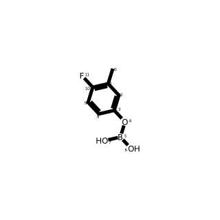 Cc1cc(OB(O)O)ccc1F